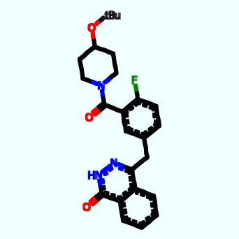 CC(C)(C)OC1CCN(C(=O)c2cc(Cc3n[nH]c(=O)c4ccccc34)ccc2F)CC1